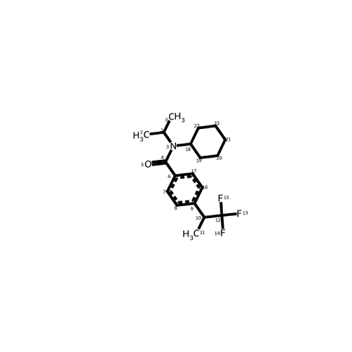 CC(C)N(C(=O)c1ccc(C(C)C(F)(F)F)cc1)C1CCCCC1